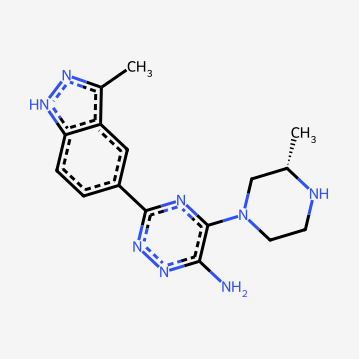 Cc1n[nH]c2ccc(-c3nnc(N)c(N4CCN[C@@H](C)C4)n3)cc12